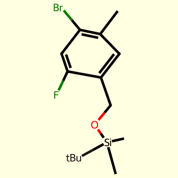 Cc1cc(CO[Si](C)(C)C(C)(C)C)c(F)cc1Br